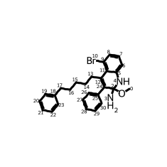 COC1(N)Nc2cccc(Br)c2C(CCCCCc2ccccc2)=C1c1ccccc1